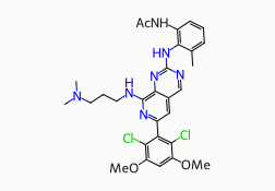 COc1cc(OC)c(Cl)c(-c2cc3cnc(Nc4c(C)cccc4NC(C)=O)nc3c(NCCCN(C)C)n2)c1Cl